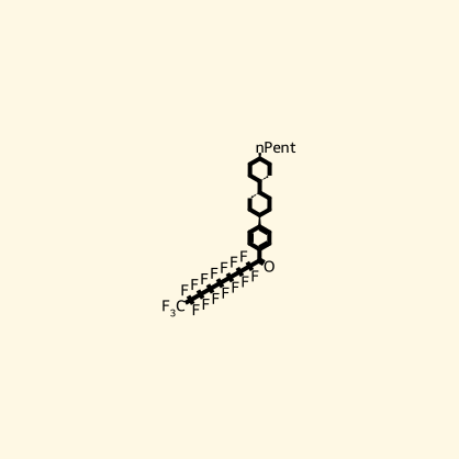 CCCCC[C@H]1CC[C@H]([C@H]2CC[C@H](c3ccc(C(=O)C(F)(F)C(F)(F)C(F)(F)C(F)(F)C(F)(F)C(F)(F)C(F)(F)C(F)(F)F)cc3)CC2)CC1